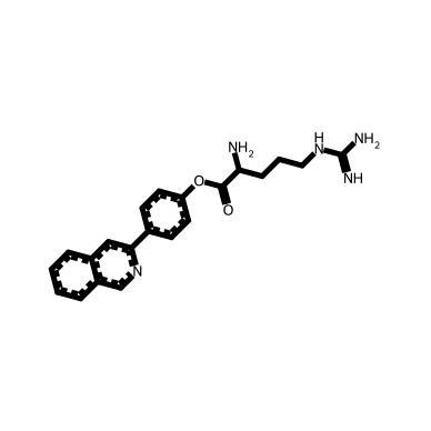 N=C(N)NCCCC(N)C(=O)Oc1ccc(-c2cc3ccccc3cn2)cc1